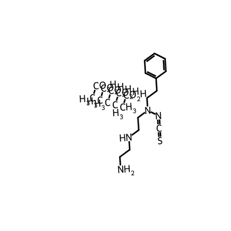 CC(=O)O.CC(=O)O.CC(=O)O.CC(=O)O.CC(=O)O.NCCNCCN(CCc1ccccc1)N=C=S